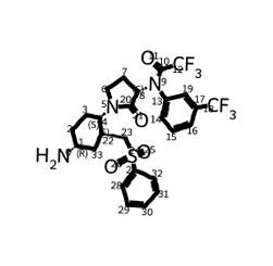 N[C@@H]1CC[C@H](N2CC[C@H](N(C(=O)C(F)(F)F)c3cccc(C(F)(F)F)c3)C2=O)[C@@H](CS(=O)(=O)c2ccccc2)C1